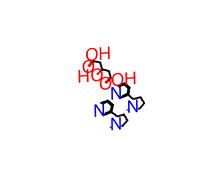 CN1CCCC1c1cccnc1.CN1CCCC1c1cccnc1.O=C(O)CC(O)CC(=O)O